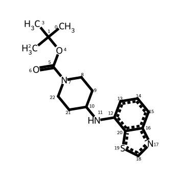 CC(C)(C)OC(=O)N1CCC(Nc2cccc3ncsc23)CC1